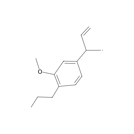 [CH2]C(C=C)c1ccc(CCC)c(OC)c1